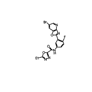 CCc1nnc(C(=O)Nc2ccc(F)c(-c3nc4ncc(Br)cc4o3)c2)o1